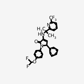 CC(C)(NC1=CC(c2ccccc2)N(c2ccc(OC(F)F)cc2)C1=O)c1cccc(C(F)(F)F)n1